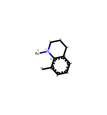 CC(=O)N1CCCc2cccc(C)c21